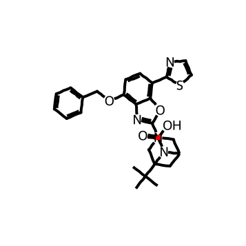 CC(C)(C)C12CC(CN(c3nc4c(OCc5ccccc5)ccc(-c5nccs5)c4o3)C1)N2C(=O)O